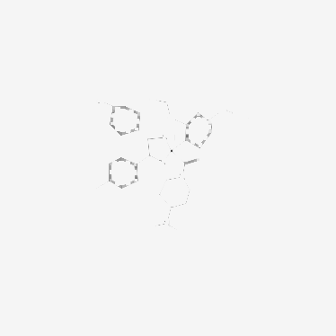 CCOc1cc(OC)ccc1C1(C(=O)N2CCC(N(C)C)CC2)NC(c2ccc(Br)cc2)C(c2ccc(Br)cc2)N1